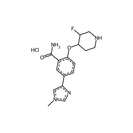 Cl.Cn1cnc(-c2ccc(OC3CCNCC3F)c(C(N)=O)c2)c1